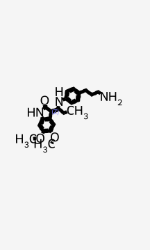 CC/C(Nc1ccc(CCCN)cc1)=C1/C(=O)Nc2cc(OC)c(OC)cc21